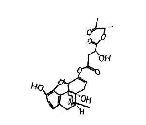 CC(=O)[C@H](C)OC(=O)[C@@H](O)CC(=O)OC1=CC[C@@]2(O)[C@H]3Cc4ccc(O)c5c4[C@@]2(CCN3C)[C@H]1O5